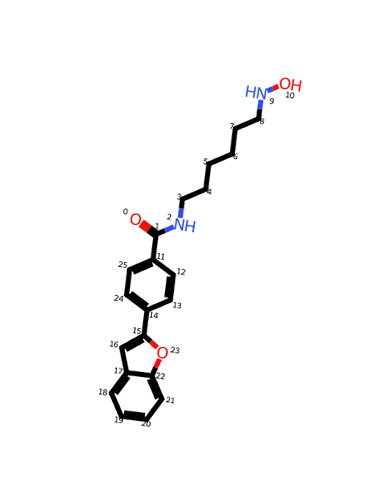 O=C(NCCCCCCNO)c1ccc(-c2cc3ccccc3o2)cc1